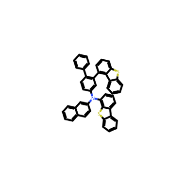 c1ccc(-c2ccc(N(c3ccc4ccccc4c3)c3cccc4c3sc3ccccc34)cc2-c2cccc3sc4ccccc4c23)cc1